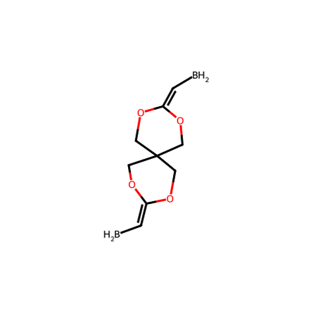 BC=C1OCC2(CO1)COC(=CB)OC2